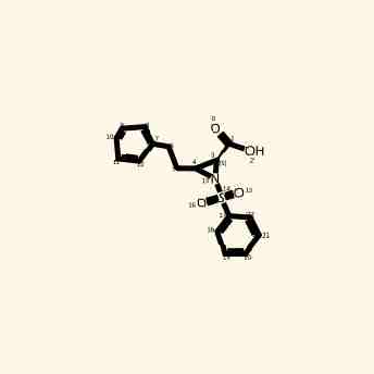 O=C(O)[C@@H]1C(CCc2ccccc2)N1S(=O)(=O)c1ccccc1